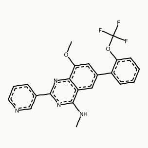 CNc1nc(-c2cccnc2)nc2c(OC)cc(-c3ccccc3OC(F)(F)F)cc12